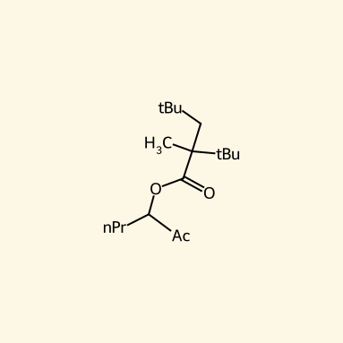 CCCC(OC(=O)C(C)(CC(C)(C)C)C(C)(C)C)C(C)=O